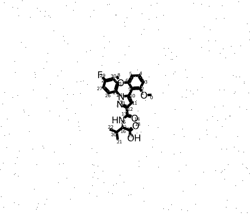 COc1cccc(OC)c1-c1cc(C(=O)N[C@H](C(=O)O)C(C)C)nn1-c1ccc(F)cc1